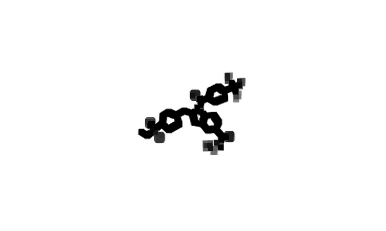 CCS(=O)(=O)c1ccc(Cc2cc3cc(C(N)=O)ccc3n2C(=O)c2ccc(C(F)(F)F)cc2)cc1